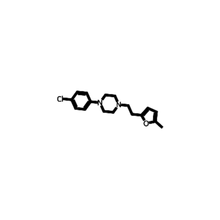 Cc1ccc(CCN2CCN(c3ccc(Cl)cc3)CC2)o1